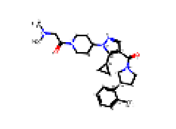 CN(C)CC(=O)N1CCC(n2ncc(C(=O)N3CC[C@@H](c4ccccc4C(F)(F)F)C3)c2C2CC2)CC1